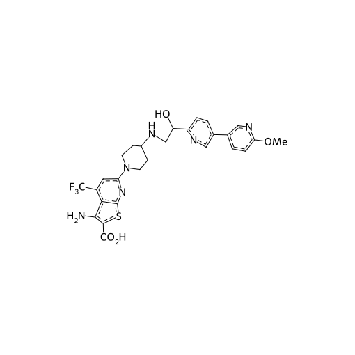 COc1ccc(-c2ccc(C(O)CNC3CCN(c4cc(C(F)(F)F)c5c(N)c(C(=O)O)sc5n4)CC3)nc2)cn1